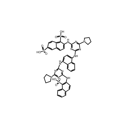 O=S(=O)(O)c1ccc2c(S(=O)(=O)O)c(Nc3nc(Nc4ccc(Nc5nc(Nc6ccc7ccccc7c6S(=O)(=O)O)nc(N6CCCC6)n5)c5ccccc45)nc(N4CCCC4)n3)ccc2c1